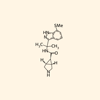 CSc1cccc2c(C(C)(C)NC(=O)[C@H]3[C@@H]4CNC[C@@H]43)n[nH]c12